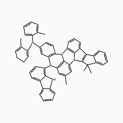 CC1=CCCC=C1N(c1ccc2c(c1)N(c1cccc3c1[nH]c1ccccc13)c1cc(C)cc3c1B2c1cccc2c4c(n-3c12)C(C)(C)c1ccccc1-4)c1ccccc1C